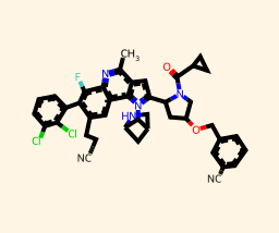 Cc1nc2c(F)c(-c3cccc(Cl)c3Cl)c(CCC#N)cc2c2c1cc(C1CC(OCc3cccc(C#N)c3)CN1C(=O)C1CC1)n2C1C2CNC1C2